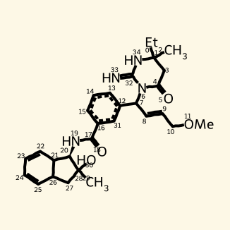 CCC1(C)CC(=O)N(C(/C=C/COC)c2cccc(C(=O)N[C@@H]3C4C=CC=CC4CC3(C)O)c2)C(=N)N1